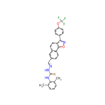 Cc1cccc(C)c1NC(=S)N/N=C/c1ccc2c(ccc3c(-c4ccc(OC(F)(F)F)cc4)noc32)c1